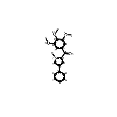 COc1cc(C(=O)c2cc(-c3ccccc3)cn2C)cc(OC)c1OC